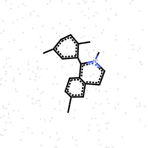 Cc1ccc(C)c(-c2c3ccc(C)cc3cc[n+]2C)c1